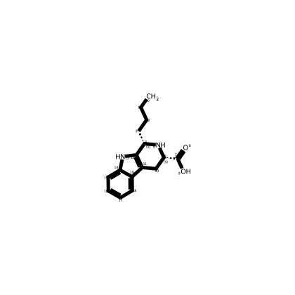 CCCC[C@@H]1N[C@H](C(=O)O)Cc2c1[nH]c1ccccc21